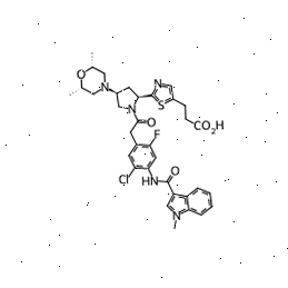 C[C@@H]1CN([C@H]2C[C@@H](c3ncc(CCC(=O)O)s3)N(C(=O)Cc3cc(Cl)c(NC(=O)c4cn(C)c5ccccc45)cc3F)C2)C[C@H](C)O1